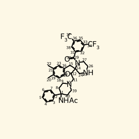 CC(=O)NC1(c2ccccc2)CCN(CC(=O)C2(Cc3ccc(C)c(C)c3)CNCCN2C(=O)c2cc(C(F)(F)F)cc(C(F)(F)F)c2)CC1